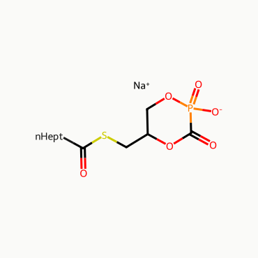 CCCCCCCC(=O)SCC1COP(=O)([O-])C(=O)O1.[Na+]